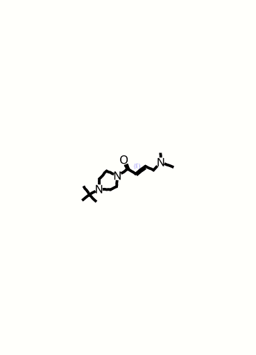 CN(C)C/C=C/C(=O)N1CCN(C(C)(C)C)CC1